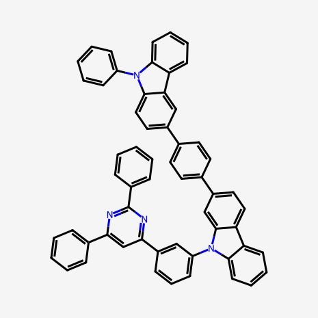 c1ccc(-c2cc(-c3cccc(-n4c5ccccc5c5ccc(-c6ccc(-c7ccc8c(c7)c7ccccc7n8-c7ccccc7)cc6)cc54)c3)nc(-c3ccccc3)n2)cc1